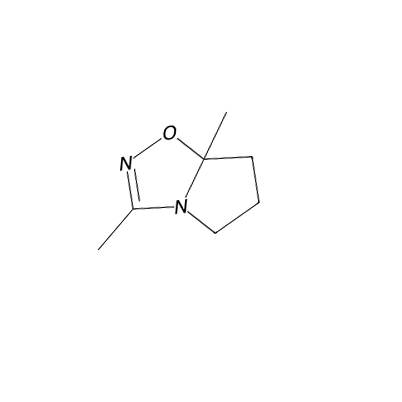 CC1=NOC2(C)CCCN12